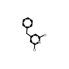 Clc1cc(Cc2ccccc2)cc(Cl)n1